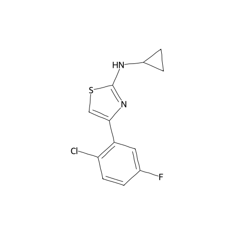 Fc1ccc(Cl)c(-c2csc(NC3CC3)n2)c1